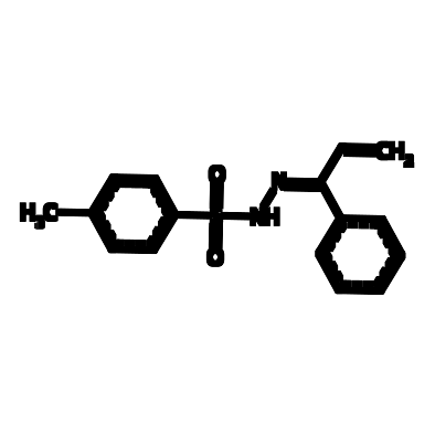 C=CC(=NNS(=O)(=O)c1ccc(C)cc1)c1ccccc1